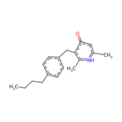 CCCCc1ccc(Cc2c(C)[nH]c(C)cc2=O)cc1